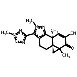 Cn1nnc(-c2c3c(nn2C)[C@@]2(C)C=C(C#N)C(=O)C4(C)C[C@]42CC3)n1